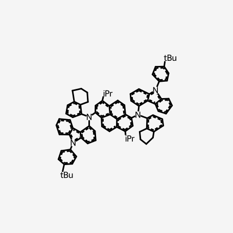 CC(C)c1cc(N(c2cccc3c2CCCC3)c2cccc3c2c2ccccc2n3-c2ccc(C(C)(C)C)cc2)c2ccc3c(C(C)C)cc(N(c4cccc5c4CCCC5)c4cccc5c4c4ccccc4n5-c4ccc(C(C)(C)C)cc4)c4ccc1c2c34